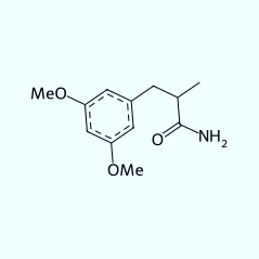 COc1cc(CC(C)C(N)=O)cc(OC)c1